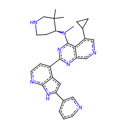 CN(c1nc(-c2ccnc3[nH]c(-c4cccnc4)cc23)nc2cncc(C3CC3)c12)[C@H]1CCNCC1(C)C